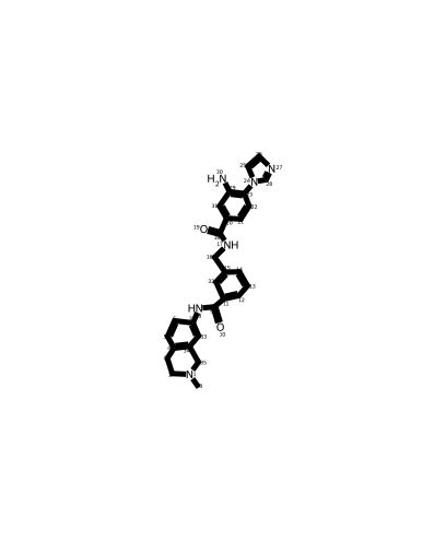 CN1CCc2ccc(NC(=O)c3cccc(CNC(=O)c4ccc(-n5ccnc5)c(N)c4)c3)cc2C1